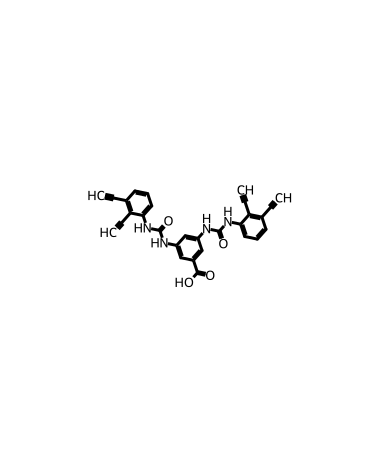 C#Cc1cccc(NC(=O)Nc2cc(NC(=O)Nc3cccc(C#C)c3C#C)cc(C(=O)O)c2)c1C#C